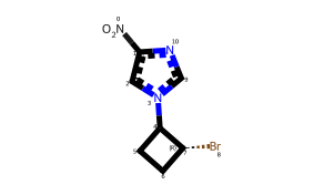 O=[N+]([O-])c1cn(C2CC[C@H]2Br)cn1